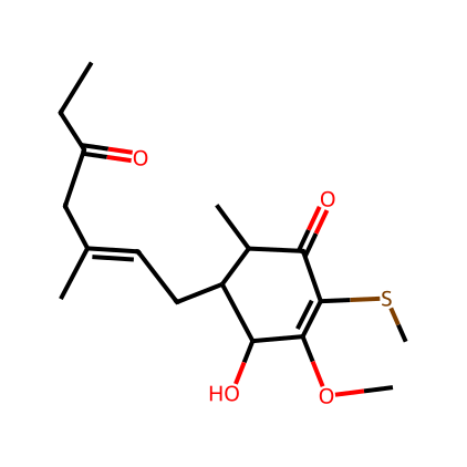 CCC(=O)C/C(C)=C/CC1C(C)C(=O)C(SC)=C(OC)C1O